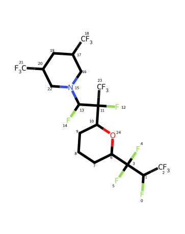 FC(C(F)(F)F)C(F)(F)C1CCCC(C(F)(C(F)N2CC(C(F)(F)F)CC(C(F)(F)F)C2)C(F)(F)F)O1